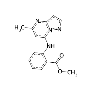 COC(=O)c1ccccc1Nc1cc(C)nc2ccnn12